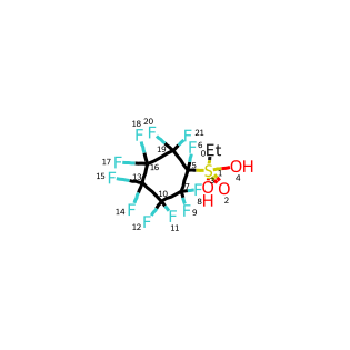 CCS(=O)(O)(O)C1(F)C(F)(F)C(F)(F)C(F)(F)C(F)(F)C1(F)F